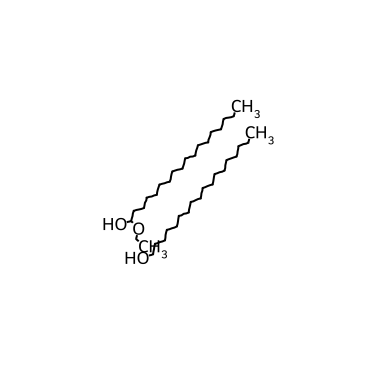 CCCCCCCCCCCCCCCCCC(O)OCC.CCCCCCCCCCCCCCCCCCO